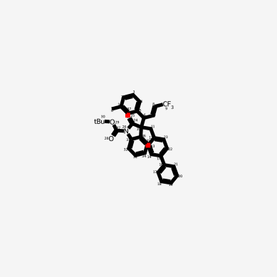 Cc1cccc(C(/C=C/C(F)(F)F)C2(Cc3ccc(-c4ccccc4)cc3)C(=O)N(C(=O)OC(C)(C)C)c3ccccc32)c1